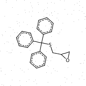 c1ccc(C(SCC2CO2)(c2ccccc2)c2ccccc2)cc1